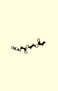 C=CC(=O)OCCOC(=O)CN=C=O